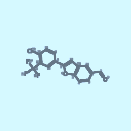 O=Cc1ccc2oc(-c3ccc(Cl)c(C(F)(F)F)c3)cc2c1